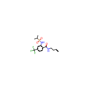 C=CCCNC(=O)c1ccc(C(F)(F)F)cc1NS(=O)(=O)C(C)C